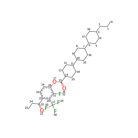 CCCC1CCC(C2CCC(C3CCC(C(=O)Oc4ccc(C(=O)CC)c(C(F)(F)F)c4F)CC3)CC2)CC1